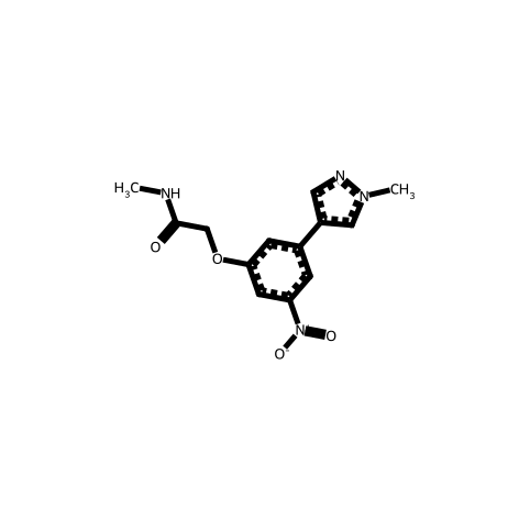 CNC(=O)COc1cc(-c2cnn(C)c2)cc([N+](=O)[O-])c1